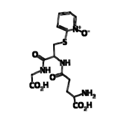 NC(CCC(=O)NC(CSc1cccc[n+]1[O-])C(=O)NCC(=O)O)C(=O)O